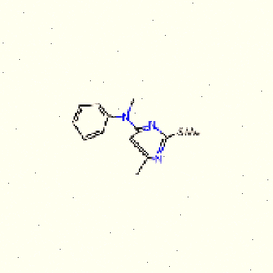 CSc1nc(C)cc(N(C)c2ccccc2)n1